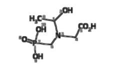 CC(O)N(CC(=O)O)CP(=O)(O)O